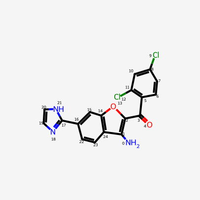 Nc1c(C(=O)c2ccc(Cl)cc2Cl)oc2cc(-c3ncc[nH]3)ccc12